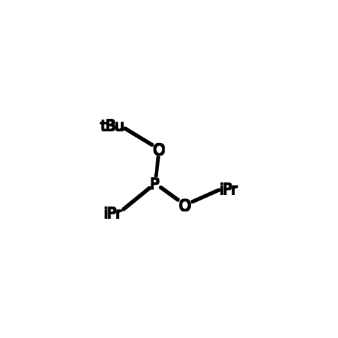 CC(C)OP(OC(C)(C)C)C(C)C